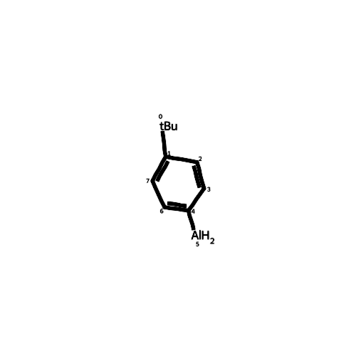 CC(C)(C)c1cc[c]([AlH2])cc1